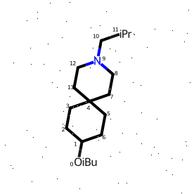 CC(C)COC1CCC2(CC1)CCN(CC(C)C)CC2